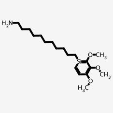 COc1cc[si](CCCCCCCCCCCN)c(OC)c1OC